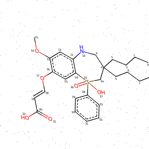 CCCCC1(CCCC)CNc2cc(OC)c(O/C=C/C(=O)O)cc2S(=O)(O)(c2ccccc2)C1